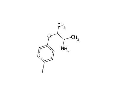 CC(N)C(C)Oc1ccc(I)cc1